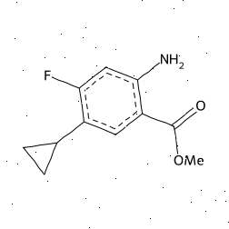 COC(=O)c1cc(C2CC2)c(F)cc1N